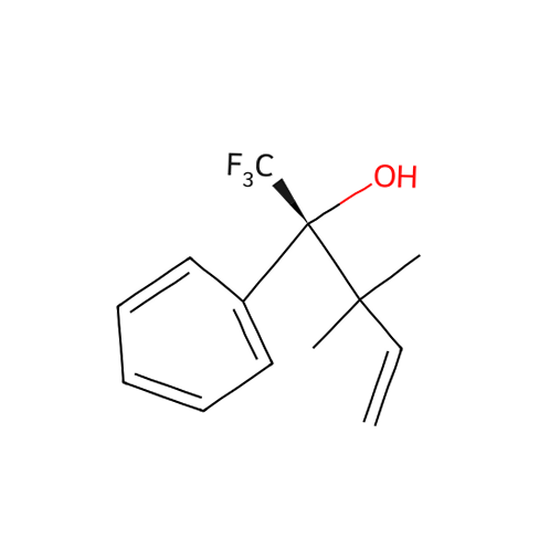 C=CC(C)(C)[C@@](O)(c1ccccc1)C(F)(F)F